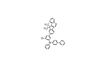 CC1(C)c2cc(-c3cc(Cl)cc(N(c4ccccc4)c4ccc(-c5ccccc5)cc4)c3)ccc2-c2ccc3ccccc3c21